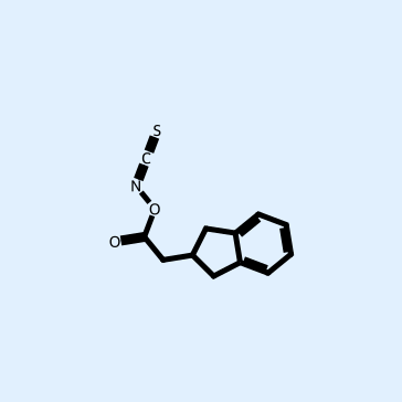 O=C(CC1Cc2ccccc2C1)ON=C=S